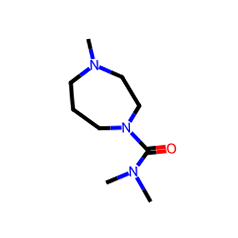 CN1CCCN(C(=O)N(C)C)CC1